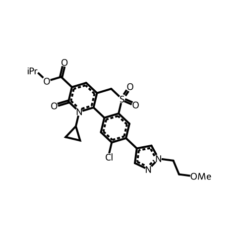 COCCn1cc(-c2cc3c(cc2Cl)-c2c(cc(C(=O)OC(C)C)c(=O)n2C2CC2)CS3(=O)=O)cn1